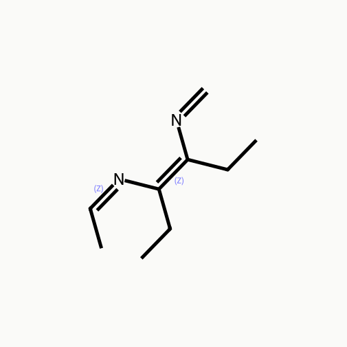 C=N/C(CC)=C(CC)\N=C/C